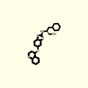 OC[C@H](CC1CCCCC1)Nc1nc2ccc(Oc3ccnc4ccccc34)cc2s1